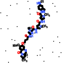 C=C1C[C@H]2C=Nc3cc(OCCCC(=O)Nc4cn(C)c(C(=O)Nc5cc(C(=O)Nc6cc(C(=O)n7ncc8cc(NCC)ccc87)n(C)c6)n(C)c5)n4)c(OC)cc3C(=O)N2C1